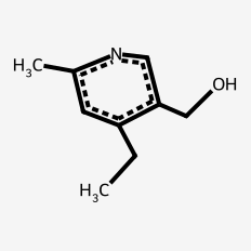 CCc1cc(C)ncc1CO